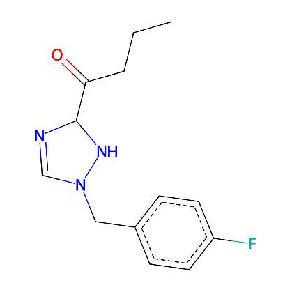 CCCC(=O)C1N=CN(Cc2ccc(F)cc2)N1